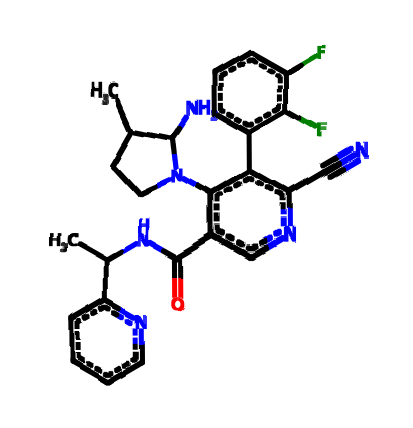 CC(NC(=O)c1cnc(C#N)c(-c2cccc(F)c2F)c1N1CCC(C)C1N)c1ccccn1